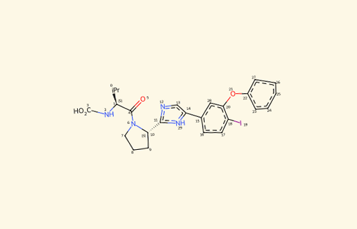 CC(C)[C@H](NC(=O)O)C(=O)N1CCC[C@H]1c1ncc(-c2ccc(I)c(Oc3ccccc3)c2)[nH]1